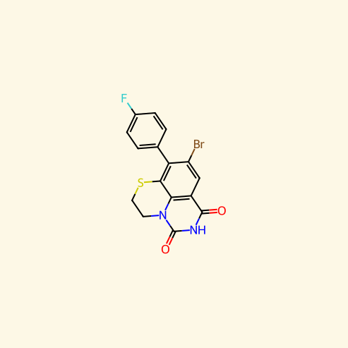 O=c1[nH]c(=O)n2c3c(c(-c4ccc(F)cc4)c(Br)cc13)SCC2